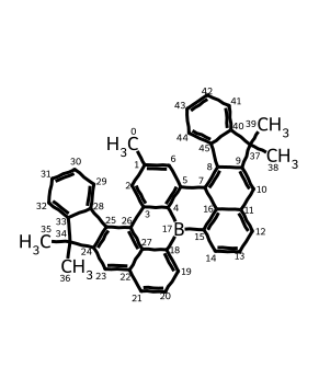 Cc1cc2c3c(c1)-c1c4c(cc5cccc(c15)B3c1cccc3cc5c(c-2c13)-c1ccccc1C5(C)C)C(C)(C)c1ccccc1-4